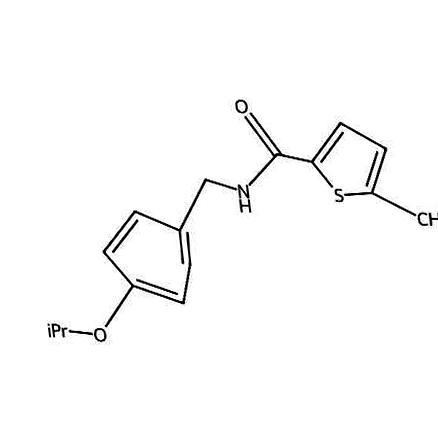 CC(C)Oc1ccc(CNC(=O)c2ccc(C=O)s2)cc1